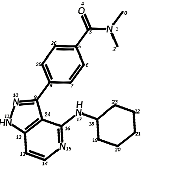 CN(C)C(=O)c1ccc(-c2n[nH]c3ccnc(NC4CCCCC4)c23)cc1